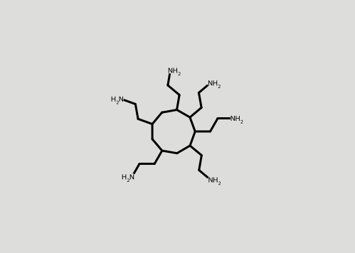 NCCC1CC(CCN)CC(CCN)C(CCN)C(CCN)C(CCN)C1